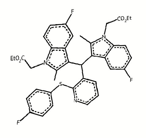 CCOC(=O)Cn1c(C)c(C(c2cccnc2Sc2ccc(F)cc2)c2c(C)n(CC(=O)OCC)c3ccc(F)cc23)c2cc(F)ccc21